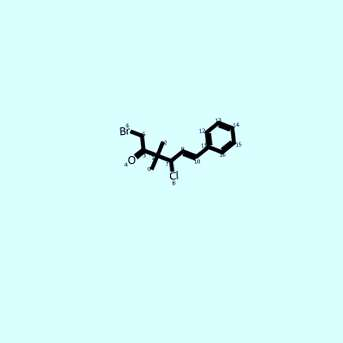 CC(C)(C(=O)CBr)C(Cl)/C=C/c1ccccc1